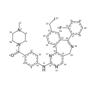 CN1CCN(C(=O)c2ccc(Nc3ncc4c(n3)-c3ccc(CI)cc3C(c3ccccc3F)=NC4)cc2)CC1